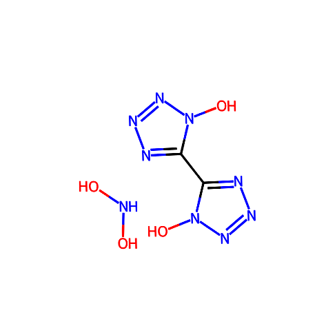 ONO.On1nnnc1-c1nnnn1O